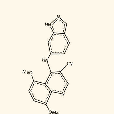 COc1ccc(OC)c2c(Nc3ccc4cn[nH]c4c3)c(C#N)cnc12